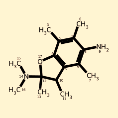 Cc1c(C)c2c(c(C)c1N)C(C)C(C)(N(C)C)O2